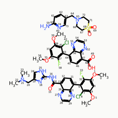 COc1cc(OC)c(Cl)c(-c2ccc(C(=O)Nc3nc(CN(C)C)c[nH]3)c3nccnc23)c1F.COc1cc(OC)c(Cl)c(-c2ccc(C(=O)O)c3nccnc23)c1F.Nc1ccc(CN2CCS(=O)(=O)CC2)cn1